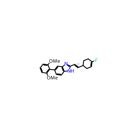 COc1cccc(OC)c1-c1ccc2[nH]c(/C=C/C3CC=C(F)CC3)nc2c1